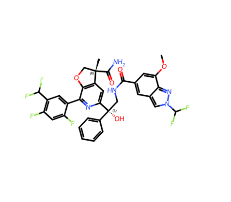 COc1cc(C(=O)NC[C@@](O)(c2ccccc2)c2cc3c(c(-c4cc(C(F)F)c(F)cc4F)n2)OC[C@]3(C)C(N)=O)cc2cn(C(F)F)nc12